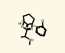 CNC(C)C1=N[C@]2(c3ccccc3Cl)CCC[C@H](O1)C2=O